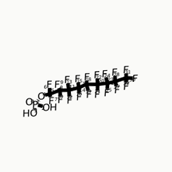 O=P(O)(O)OC(F)(F)C(F)(F)C(F)(F)C(F)(F)C(F)(F)C(F)(F)C(F)(F)C(F)(F)C(F)(F)F